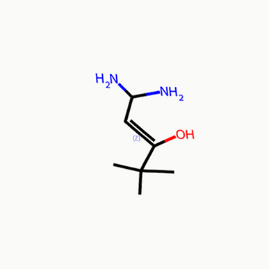 CC(C)(C)/C(O)=C/C(N)N